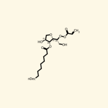 C=CC(=O)OO[C@H](CO)[C@H]1OC[C@H](O)[C@H]1OC(=O)CCCCCCCCCCCCCCCCC